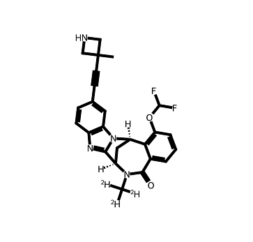 [2H]C([2H])([2H])N1C(=O)c2cccc(OC(F)F)c2[C@H]2C[C@@H]1c1nc3ccc(C#CC4(C)CNC4)cc3n12